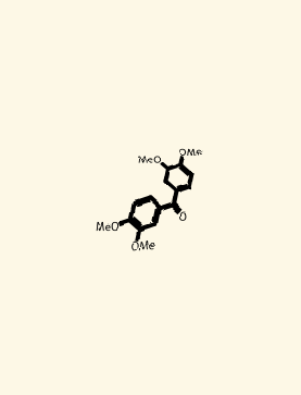 COC1=CC=C(C(=O)c2ccc(OC)c(OC)c2)CC1OC